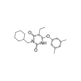 CCc1c(Oc2cc(C)cc(C)c2)[nH]c(=O)n(CC2CCCCC2)c1=O